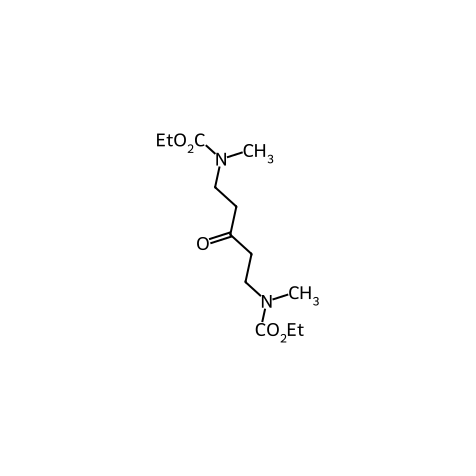 CCOC(=O)N(C)CCC(=O)CCN(C)C(=O)OCC